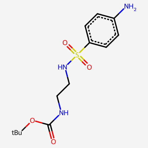 CC(C)(C)OC(=O)NCCNS(=O)(=O)c1ccc(N)cc1